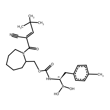 Cc1ccc(C[C@H](NC(=O)OCC2CCCCCN2C(=O)C(C#N)=CC(C)(C)C)B(O)O)cc1